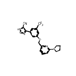 N#Cc1[nH]nnc1-c1cc(OCc2cccc(N3CCCC3)n2)cc(C(F)(F)F)c1